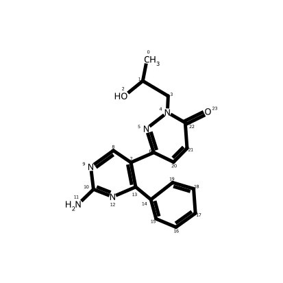 CC(O)Cn1nc(-c2cnc(N)nc2-c2ccccc2)ccc1=O